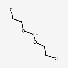 ClCCOPOCCCl